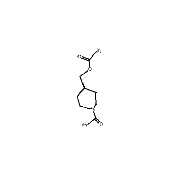 CC(C)C(=O)OCC1CCN(C(=O)C(C)C)CC1